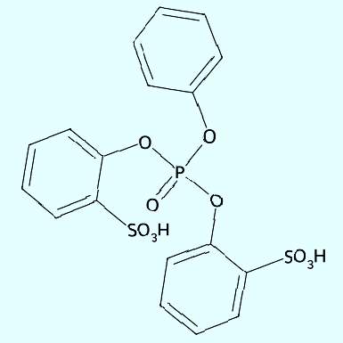 O=P(Oc1ccccc1)(Oc1ccccc1S(=O)(=O)O)Oc1ccccc1S(=O)(=O)O